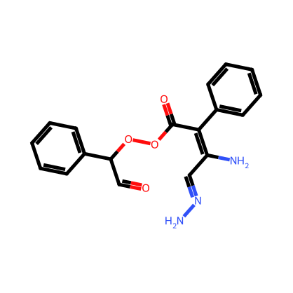 NN=CC(N)=C(C(=O)OOC(C=O)c1ccccc1)c1ccccc1